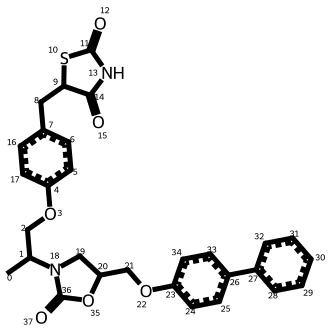 CC(COc1ccc(CC2SC(=O)NC2=O)cc1)N1CC(COc2ccc(-c3ccccc3)cc2)OC1=O